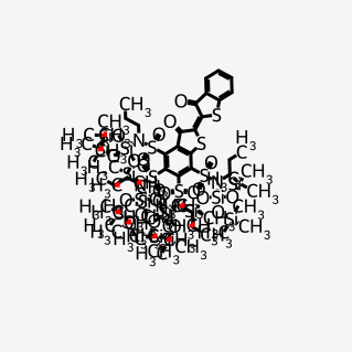 CCCN([Si](O[Si](C)(C)C)(O[Si](C)(C)C)O[Si](C)(C)C)S(=O)(=O)c1c2c(c(S(=O)(=O)N(CCC)[Si](O[Si](C)(C)C)(O[Si](C)(C)C)O[Si](C)(C)C)c(S(=O)(=O)N(CCC)[Si](O[Si](C)(C)C)(O[Si](C)(C)C)O[Si](C)(C)C)c1S(=O)(=O)N(CCC)[Si](O[Si](C)(C)C)(O[Si](C)(C)C)O[Si](C)(C)C)C(=O)C(=C1Sc3ccccc3C1=O)S2